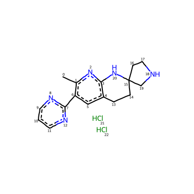 Cc1nc2c(cc1-c1ncccn1)CCC1(CCNC1)N2.Cl.Cl